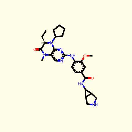 CC[C@@H]1C(=O)N(C)c2cnc(Nc3ccc(C(=O)NC4C5CNCC54)cc3OC)nc2N1C1CCCC1